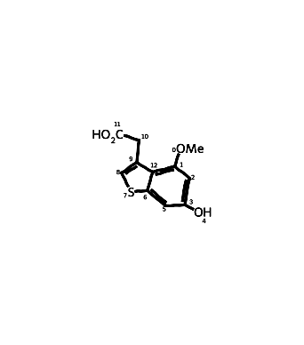 COc1cc(O)cc2scc(CC(=O)O)c12